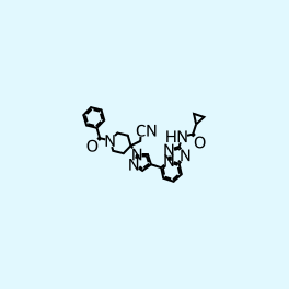 N#CCC1(n2cc(-c3cccc4nc(NC(=O)C5CC5)nn34)cn2)CCN(C(=O)c2ccccc2)CC1